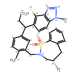 CC[C@H]1Cc2ccccc2S(=O)(=O)N(Cc2cc(C(CC(=O)O)c3ccc4c(nnn4CC)c3F)ccc2C)C1